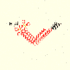 O.O.O.O.O.O.O.O.O.O.O.O.O.O.O=P([O-])([O-])OS(=O)(=O)[O-].[AlH3].[Na+].[Na+].[Na+]